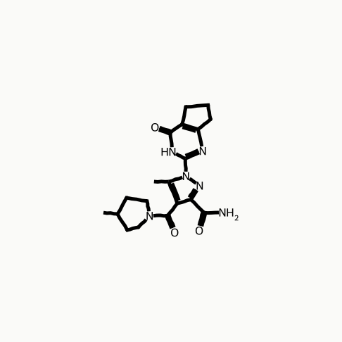 Cc1c(C(=O)N2CCC(C)CC2)c(C(N)=O)nn1-c1nc2c(c(=O)[nH]1)CCC2